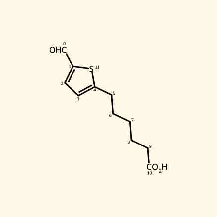 O=Cc1ccc(CCCCCC(=O)O)s1